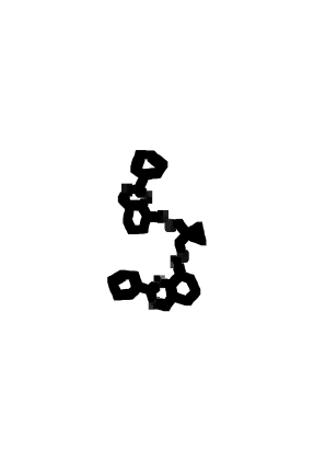 c1ccc(-c2ncc3c(n2)/C(=N/OCC2(CO/N=C4\CCCc5cnc(-c6ccccc6)nc54)CC2)CCC3)cc1